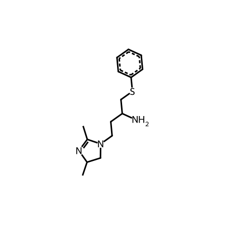 CC1=NC(C)CN1CCC(N)CSc1ccccc1